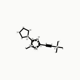 Cn1nc(C#C[Si](C)(C)C)nc1N1CCCC1